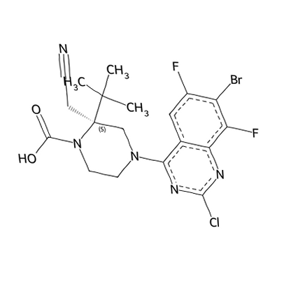 CC(C)(C)[C@@]1(CC#N)CN(c2nc(Cl)nc3c(F)c(Br)c(F)cc23)CCN1C(=O)O